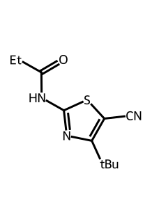 CCC(=O)Nc1nc(C(C)(C)C)c(C#N)s1